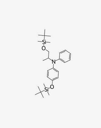 CC(CO[Si](C)(C)C(C)(C)C)N(c1ccccc1)c1ccc(O[Si](C)(C)C(C)(C)C)cc1